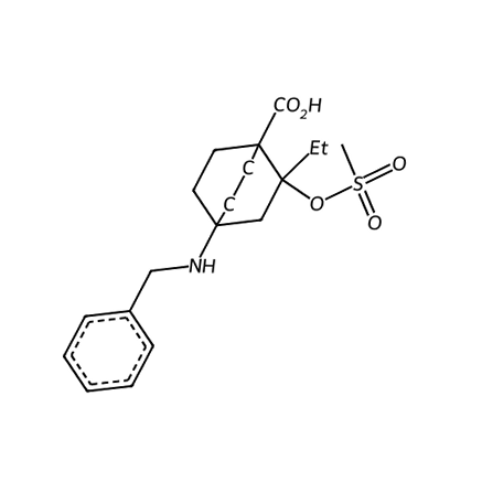 CCC1(OS(C)(=O)=O)CC2(NCc3ccccc3)CCC1(C(=O)O)CC2